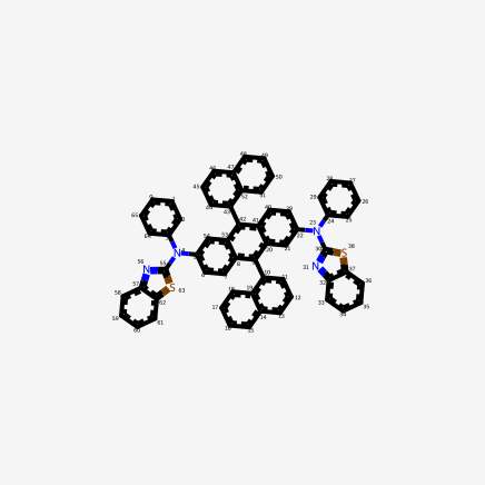 c1ccc(N(c2ccc3c(-c4cccc5ccccc45)c4cc(N(c5ccccc5)c5nc6ccccc6s5)ccc4c(-c4cccc5ccccc45)c3c2)c2nc3ccccc3s2)cc1